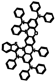 C1=C(N(c2ccccc2)c2ccccc2)C=C2C3B(c4cc5c(cc4N(c4ccccc4)C13)Oc1cc(N(c3ccccc3)c3ccccc3)cc3c1B5c1ccccc1N3c1ccccc1)c1sc3ccccc3c1N2c1ccccc1